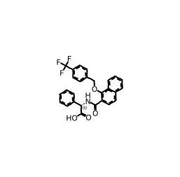 O=C(N[C@H](C(=O)O)c1ccccc1)c1ccc2ccccc2c1OCc1ccc(C(F)(F)F)cc1